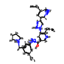 COc1cncc(-c2cn(-c3cc(C(=O)Nc4cc(CN5CCCC5)cc(C(F)(F)F)c4)cnc3C)nn2)c1